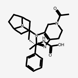 CC(=O)N1CCc2nc(C)n(C3CC4CCC(C3)N4CC[C@H](NC(=O)O)c3ccccc3)c2C1